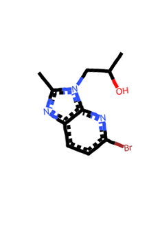 Cc1nc2ccc(Br)nc2n1CC(C)O